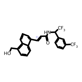 O=C(/C=C/c1cccc2c(CO)cccc12)NC(c1cccc(C(F)(F)F)c1)C(F)(F)F